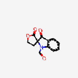 O=CN1c2ccccc2C(=O)C12CCOC2=O